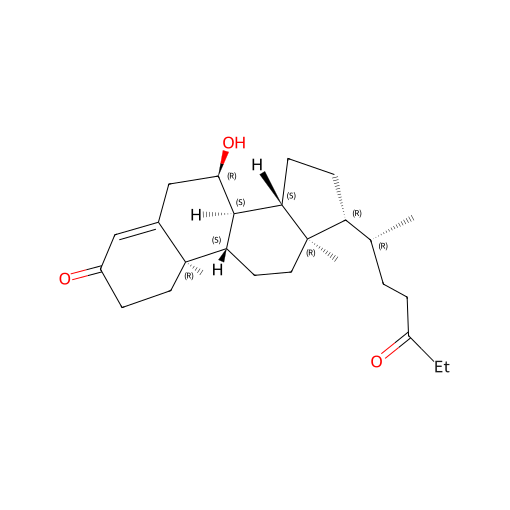 CCC(=O)CC[C@@H](C)[C@H]1CC[C@H]2[C@@H]3[C@H](O)CC4=CC(=O)CC[C@]4(C)[C@H]3CC[C@]12C